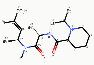 CCC(CC)N1CCCCC1C(=O)N[C@H](C(=O)N(C)[C@H](/C=C(\C)C(=O)O)C(C)C)C(C)C